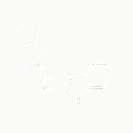 N[C@@H](Cc1c[nH]c2ccccc12)C(=O)SC1CCCC1